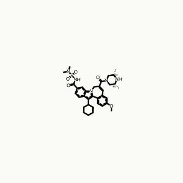 COc1ccc2c(c1)C=C(C(=O)N1C[C@@H](C)N[C@@H](C)C1)Cn1c-2c(C2CCCCC2)c2ccc(C(=O)NS(=O)(=O)N(C)C)cc21